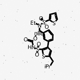 CCCCOC(=O)NS(=O)(=O)c1sc(CC(C)C)cc1-c1cccc(CN(CC)S(=O)(=O)c2cccs2)c1